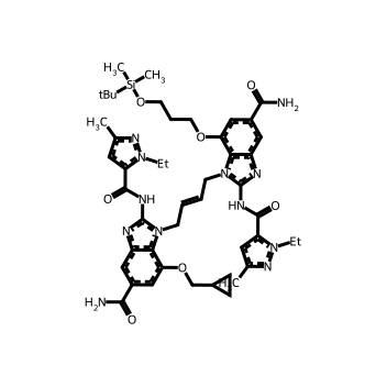 CCn1nc(C)cc1C(=O)Nc1nc2cc(C(N)=O)cc(OCCCO[Si](C)(C)C(C)(C)C)c2n1CC=CCn1c(NC(=O)c2cc(C)nn2CC)nc2cc(C(N)=O)cc(OCC3CC3)c21